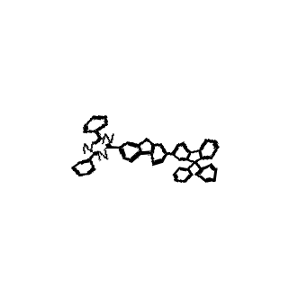 c1ccc(-c2nc(-c3ccccc3)nc(-c3ccc4c(c3)Cc3cc(-c5ccc6c(c5)C(c5ccccc5)(c5ccccc5)c5ccccc5-6)ccc3-4)n2)cc1